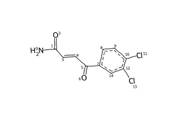 NC(=O)C=CC(=O)c1ccc(Cl)c(Cl)c1